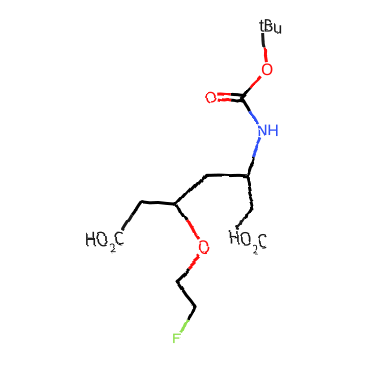 CC(C)(C)OC(=O)NC(CC(=O)O)CC(CC(=O)O)OCCF